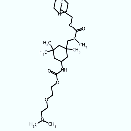 CN(C)CCOCCOC(=O)NC1CC(C)(C)CC(C)(CN(C)C(=O)OCC2CN3CCN2CC3)C1